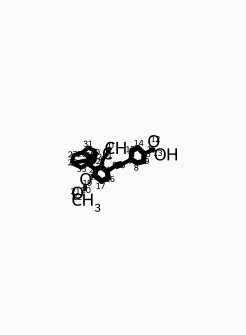 CCCc1c(C#Cc2ccc(C(=O)O)cc2)ccc(OCOC)c1C12CC3CC(CC(C3)C1)C2